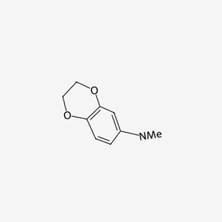 CNc1ccc2c(c1)OCCO2